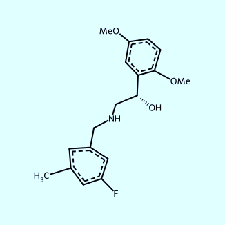 COc1ccc(OC)c([C@H](O)CNCc2cc(C)cc(F)c2)c1